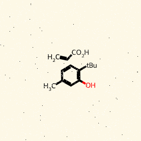 C=CC(=O)O.Cc1ccc(C(C)(C)C)c(O)c1